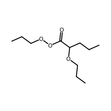 CCCOOC(=O)C(CCC)OCCC